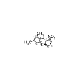 Cc1cc(C)c(Cc2ccccc2[N+](=O)[O-])c(C)c1